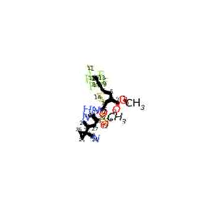 COC(=O)c1cc(C(F)(F)C(F)(F)F)sc1CNc1ncc(C2(C#N)CC2)cc1S(C)(=O)=O